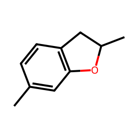 Cc1ccc2c(c1)OC(C)C2